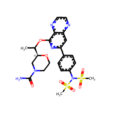 CC(Oc1nc(-c2ccc(N(S(C)(=O)=O)S(C)(=O)=O)cc2)cc2nccnc12)[C@@H]1CN(C(N)=O)CCO1